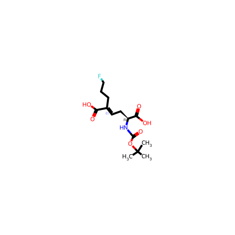 CC(C)(C)OC(=O)N[C@@H](C/C=C(\CCCF)C(=O)O)C(=O)O